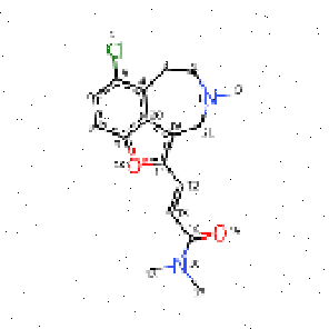 CN1CCc2c(Cl)ccc3oc(/C=C/C(=O)N(C)C)c(c23)C1